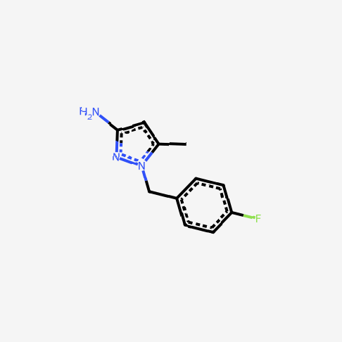 Cc1cc(N)nn1Cc1ccc(F)cc1